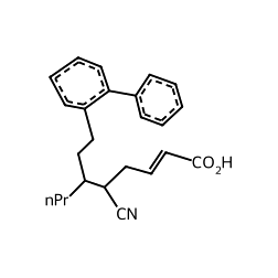 CCCC(CCc1ccccc1-c1ccccc1)C(C#N)CC=CC(=O)O